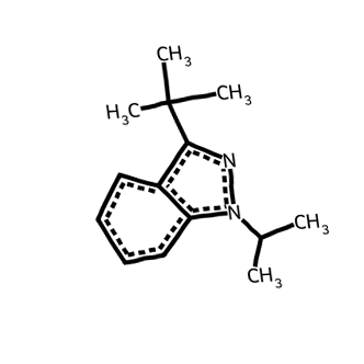 CC(C)n1nc(C(C)(C)C)c2ccccc21